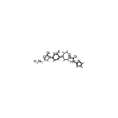 NC[C@H]1CN(c2ccc(N3CCON(C(=O)Nc4nccs4)CC3)c(F)c2)C(=O)O1